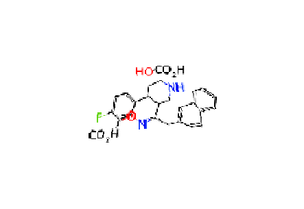 O=C(O)CO/N=C(/Cc1ccc2ccccc2c1)C1CNCCC1c1ccc(F)cc1.O=C(O)O